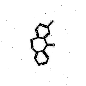 Cc1ccc2ccc3ccccc3c(=O)c2c1